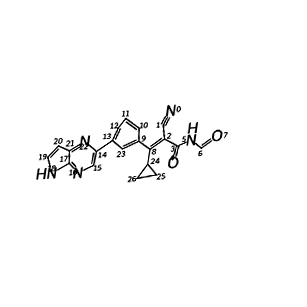 N#C/C(C(=O)NC=O)=C(\c1cccc(-c2cnc3[nH]ccc3n2)c1)C1CC1